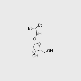 CCC(CC)NOC1C[C@H](O)C(CO)O1